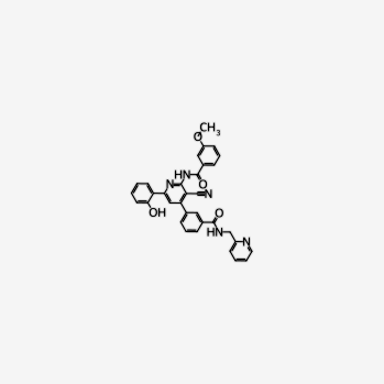 COc1cccc(C(=O)Nc2nc(-c3ccccc3O)cc(-c3cccc(C(=O)NCc4ccccn4)c3)c2C#N)c1